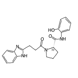 O=C(Nc1ccccc1O)[C@@H]1CCCN1C(=O)CCc1nc2ccccc2[nH]1